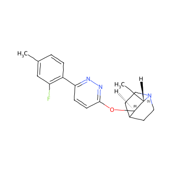 Cc1ccc(-c2ccc(O[C@@H]3C4CCN(CC4)[C@H]3C)nn2)c(F)c1